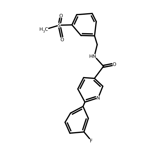 CS(=O)(=O)c1cccc(CNC(=O)c2ccc(-c3cccc(F)c3)nc2)c1